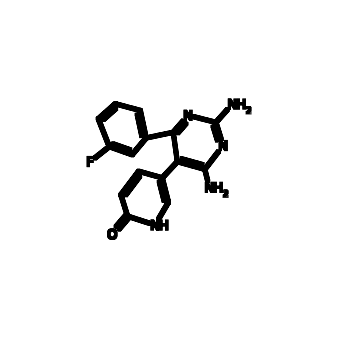 Nc1nc(N)c(-c2ccc(=O)[nH]c2)c(-c2cccc(F)c2)n1